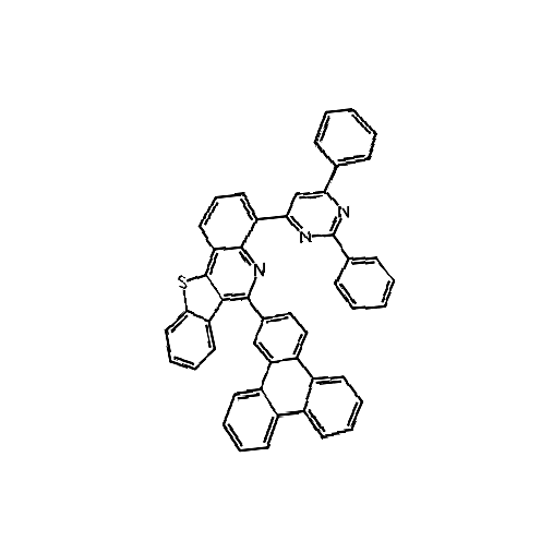 c1ccc(-c2cc(-c3cccc4c3nc(-c3ccc5c6ccccc6c6ccccc6c5c3)c3c5ccccc5sc43)nc(-c3ccccc3)n2)cc1